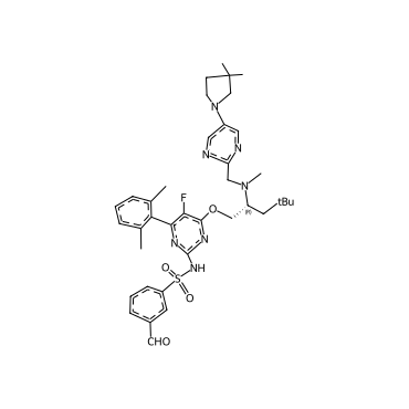 Cc1cccc(C)c1-c1nc(NS(=O)(=O)c2cccc(C=O)c2)nc(OC[C@@H](CC(C)(C)C)N(C)Cc2ncc(N3CCC(C)(C)C3)cn2)c1F